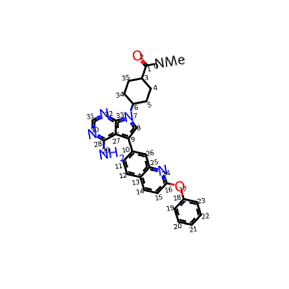 CNC(=O)C1CCC(n2cc(-c3ccc4ccc(Oc5ccccc5)nc4c3)c3c(N)ncnc32)CC1